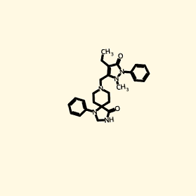 CCc1c(CN2CCC3(CC2)C(=O)NCN3c2ccccc2)n(C)n(-c2ccccc2)c1=O